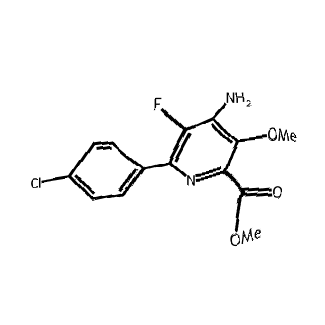 COC(=O)c1nc(-c2ccc(Cl)cc2)c(F)c(N)c1OC